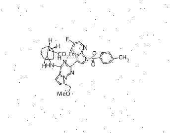 CCOC(=O)[C@H]1[C@H]2CC[C@H](CC2)[C@@H]1Nc1nc(-c2cn(S(=O)(=O)c3ccc(C)cc3)c3ncc(F)cc23)nn2c(COC)ccc12